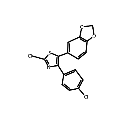 Clc1ccc(-c2nc(Cl)sc2-c2ccc3c(c2)OCO3)cc1